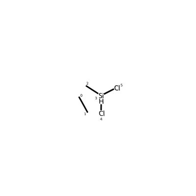 CC.C[SiH](Cl)Cl